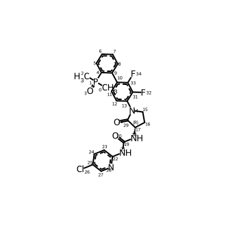 CP(C)(=O)c1ccccc1-c1ccc(N2CC[C@@H](NC(=O)Nc3ccc(Cl)cn3)C2=O)c(F)c1F